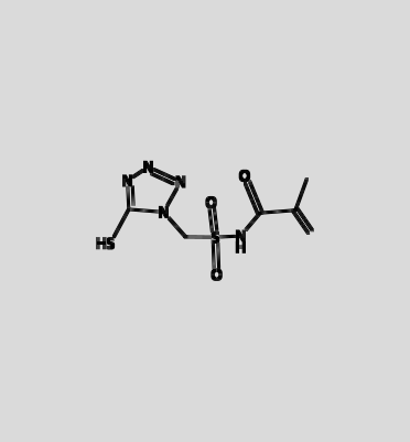 C=C(C)C(=O)NS(=O)(=O)Cn1nnnc1S